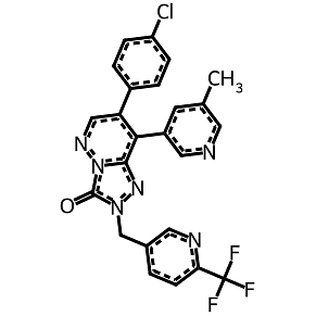 Cc1cncc(-c2c(-c3ccc(Cl)cc3)cnn3c(=O)n(Cc4ccc(C(F)(F)F)nc4)nc23)c1